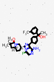 CC1(C)C[C@@H]2CC[C@@H](c3nc(-c4ccc(C(C)(O)c5cccc(C(F)(F)F)c5)cc4)c4c(N)ncc(F)n34)CN2C1=O